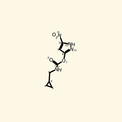 O=C(NCC1CC1)Oc1cc([N+](=O)[O-])[nH]n1